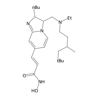 CCCCC1N=C2C=C(/C=C/C(=O)NO)C=CN2C1CN(CC)CCC(C)CC(C)(C)C